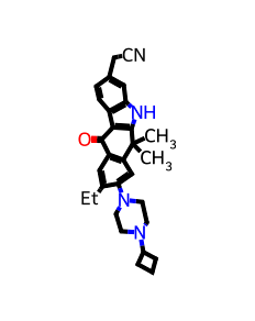 CCc1cc2c(cc1N1CCN(C3CCC3)CC1)C(C)(C)c1[nH]c3cc(CC#N)ccc3c1C2=O